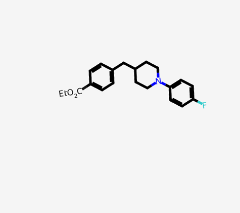 CCOC(=O)c1ccc(CC2CCN(c3ccc(F)cc3)CC2)cc1